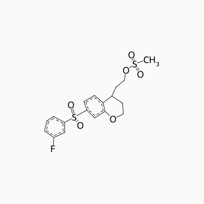 CS(=O)(=O)OCCC1CCOc2cc(S(=O)(=O)c3cccc(F)c3)ccc21